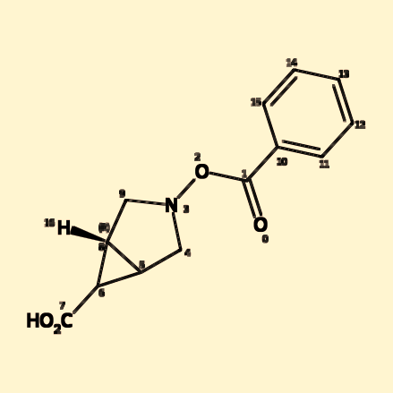 O=C(ON1CC2C(C(=O)O)[C@@H]2C1)c1ccccc1